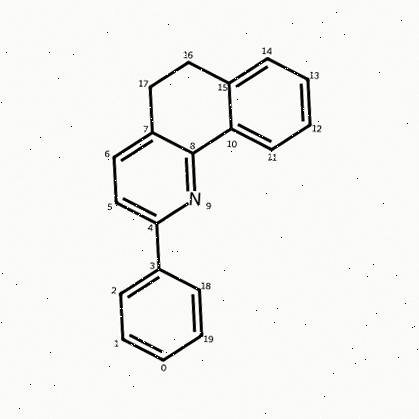 c1ccc(-c2ccc3c(n2)-c2ccccc2CC3)cc1